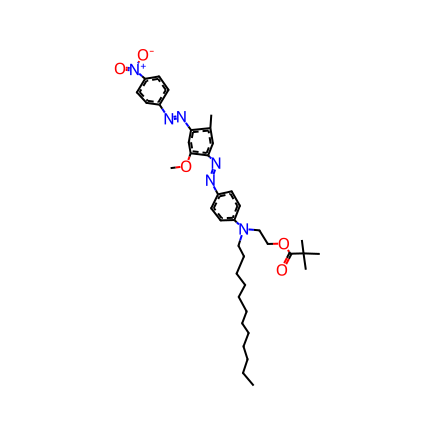 CCCCCCCCCCCCN(CCOC(=O)C(C)(C)C)c1ccc(/N=N/c2cc(C)c(/N=N/c3ccc([N+](=O)[O-])cc3)cc2OC)cc1